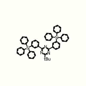 CC(C)(C)c1nc(-c2cccc([Si](c3ccccc3)(c3ccccc3)c3ccccc3)c2)nc(-c2cccc([Si](c3ccccc3)(c3ccccc3)c3ccccc3)c2)n1